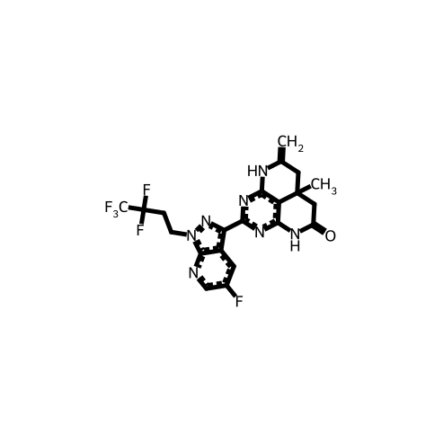 C=C1CC2(C)CC(=O)Nc3nc(-c4nn(CCC(F)(F)C(F)(F)F)c5ncc(F)cc45)nc(c32)N1